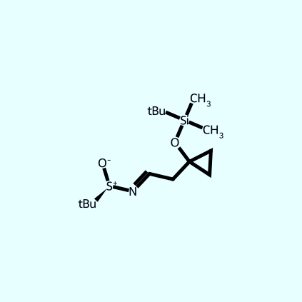 CC(C)(C)[S@@+]([O-])N=CCC1(O[Si](C)(C)C(C)(C)C)CC1